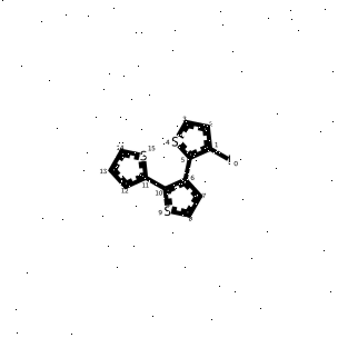 Ic1ccsc1-c1ccsc1-c1cccs1